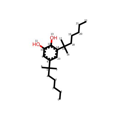 CCCCCC(C)(C)c1cc(O)c(O)c(C(C)(C)CCCCC)c1